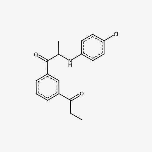 CCC(=O)c1cccc(C(=O)C(C)Nc2ccc(Cl)cc2)c1